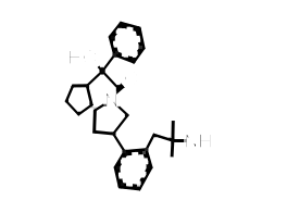 CC(C)(N)Cc1ccccc1C1CCN(C(=O)C(O)(c2ccccc2)C2CCCC2)C1